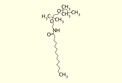 CCCCCCCCCCCCCC(=O)NCCOC(C)(C)CCOC(C)(C)CCC